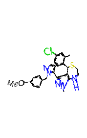 COc1ccc(Cn2nccc2-c2nn(C)c3c2C(c2ccc(Cl)cc2C)SCCN3)cc1